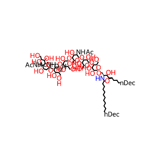 CCCCCCCCCCCCC/C=C/[C@@H](O)[C@H](CO[C@@H]1OC(CO)[C@@H](O[C@@H]2OC(CO)[C@H](O)[C@H](O[C@@H]3OC(CO)[C@@H](O[C@@H]4OC(CO)[C@H](O)[C@H](O[C@@H]5OC(CO)[C@H](O)[C@H](O[C@]6(C(=O)O)CC(O)[C@@H](NC(C)=O)C([C@H](O)[C@H](O)CO)O6)C5NC(C)=O)C4O)[C@H](O)C3NC(C)=O)C2O)[C@H](O)C1O)NC(=O)CCCCCCCCCCCCCCCCCCCCC